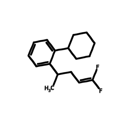 CC(CC=C(F)F)c1ccccc1C1CCCCC1